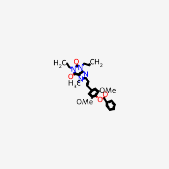 C=CCn1c(=O)c2c(nc(C=Cc3cc(OC)c(OC(=O)c4ccccc4)c(OC)c3)n2C)n(CC=C)c1=O